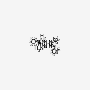 Nc1nc(-c2nc(-c3nccs3)n(Cc3ccccc3F)n2)nc(N)c1/N=N/c1ccccc1